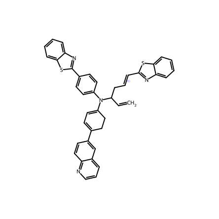 C=CC(C/C=C/c1nc2ccccc2s1)N(C1=CC=C(c2ccc3ncccc3c2)CC1)c1ccc(-c2nc3ccccc3s2)cc1